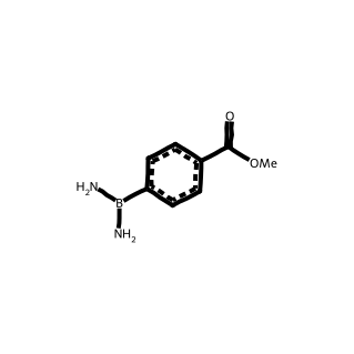 COC(=O)c1ccc(B(N)N)cc1